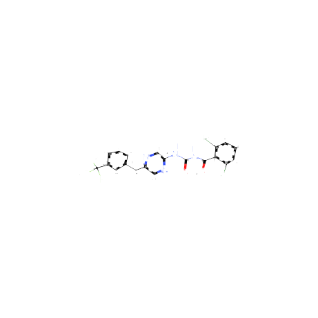 O=C(NC(=O)c1c(Cl)cccc1Cl)Nc1cnc(Cc2cccc(C(F)(F)F)c2)cn1